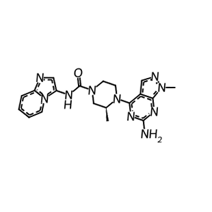 C[C@H]1CN(C(=O)Nc2cnc3ccccn23)CCN1c1nc(N)nc2c1cnn2C